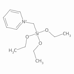 CCO[Si](C[n+]1ccccc1)(OCC)OCC